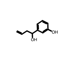 C=CCC(O)c1cccc(O)c1